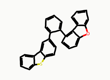 c1ccc(-c2cccc3oc4ccccc4c23)c(-c2ccc3sc4ccccc4c3c2)c1